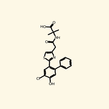 CC(C)(NC(=O)Cc1csc(-c2cc(Cl)c(O)cc2-c2ccccc2)n1)C(=O)O